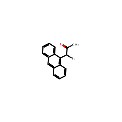 CCC(C(=O)OC)c1c2ccccc2cc2ccccc12